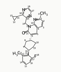 Cc1ccc2cc([C@H]3CC[C@H](c4c(C)cccc4F)CC3)c(=O)n(Cc3nccnc3C3CC3)c2n1